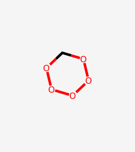 C1OOOOO1